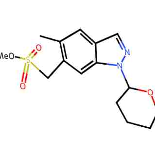 COS(=O)(=O)Cc1cc2c(cnn2C2CCCCO2)cc1C